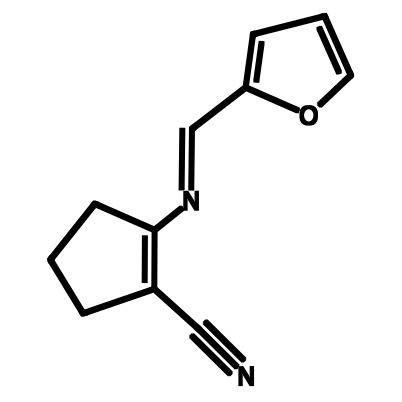 N#CC1=C(N=Cc2ccco2)CCC1